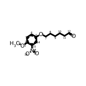 COc1ccc(OCCCCCC=O)cc1[N+](=O)[O-]